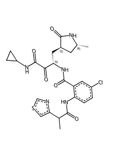 CC(C(=O)Nc1ccc(Cl)cc1C(=O)N[C@@H](C[C@@H]1C[C@@H](C)NC1=O)C(=O)C(=O)NC1CC1)c1cscn1